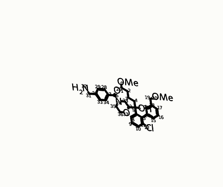 COCCCCC(O)(c1cccc(Cl)c1-c1cccc(COC)c1)C1CN(C(=O)c2ccc(CN)cc2)CCO1